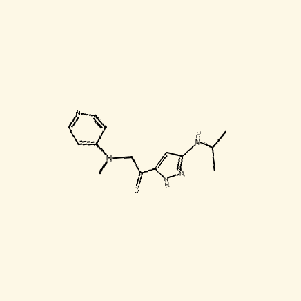 CC(C)Nc1cc(C(=O)CN(C)c2ccncc2)[nH]n1